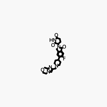 O=C1CCC(N2Cc3cc(C4CCN(Cc5cn6c(n5)COCC6)CC4)c(F)cc3C2=O)C(=O)N1